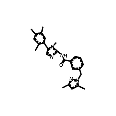 Cc1cc(C)n(Cc2cccc(C(=O)Nc3ncc(-c4cc(C)c(C)cc4C)n3C)c2)n1